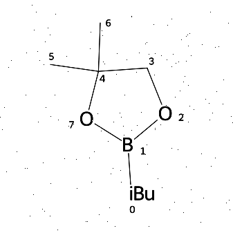 CCC(C)B1OCC(C)(C)O1